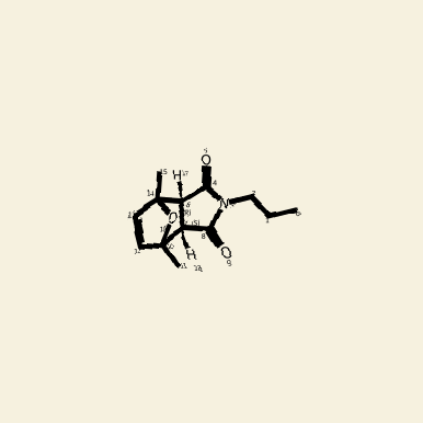 CCCN1C(=O)[C@@H]2[C@H](C1=O)C1(C)C=CC2(C)O1